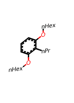 [CH2]CCc1c(OCCCCCC)cccc1OCCCCCC